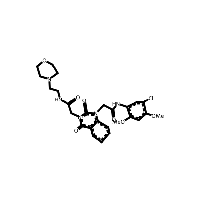 COc1cc(OC)c(NC(=O)Cn2c(=O)n(CC(=O)NCCN3CCOCC3)c(=O)c3ccccc32)cc1Cl